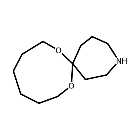 C1CCCOC2(CCCNCC2)OCC1